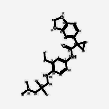 CCc1cc(NC(=O)C2(c3ccc4c(c3)OCO4)CC2)ccc1NCC(C)(C)CN(C)C